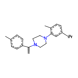 C=C(c1ccc(C)cc1)N1CCN(c2cc(C(C)C)ccc2C)CC1